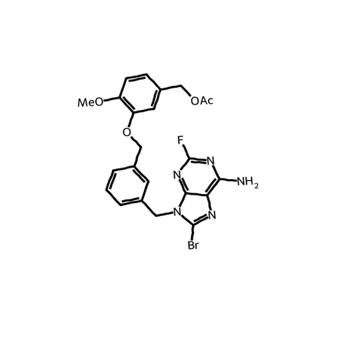 COc1ccc(COC(C)=O)cc1OCc1cccc(Cn2c(Br)nc3c(N)nc(F)nc32)c1